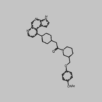 COc1ccc(OCC2CCCN(C(=O)CC3CCC(c4ccnc5cnc6[nH]ccc6c45)CC3)C2)cc1